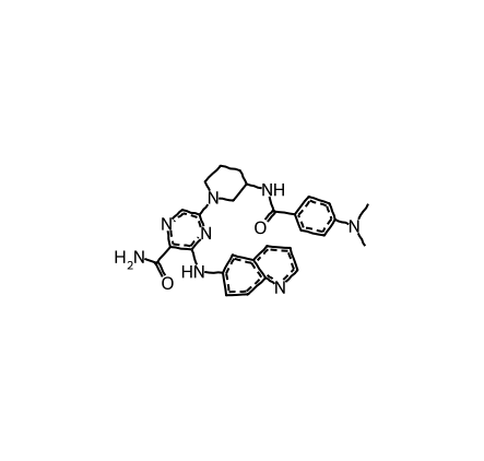 CN(C)c1ccc(C(=O)NC2CCCN(c3cnc(C(N)=O)c(Nc4ccc5ncccc5c4)n3)C2)cc1